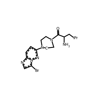 CC(C)CC(N)C(=O)N1CCN(c2ccc3ncc(Br)n3n2)CC1